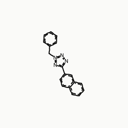 c1ccc(Cn2nnc(-c3ccc4ccccc4c3)n2)cc1